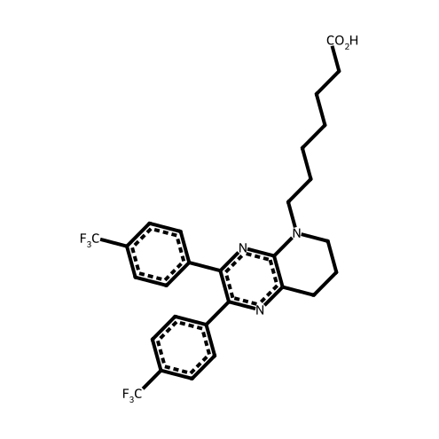 O=C(O)CCCCCCN1CCCc2nc(-c3ccc(C(F)(F)F)cc3)c(-c3ccc(C(F)(F)F)cc3)nc21